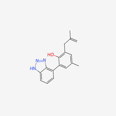 C=C(C)Cc1cc(C)cc(-c2cccc3[nH]nnc23)c1O